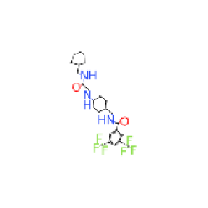 O=C(CNC1CCC(CNC(=O)c2cc(C(F)(F)F)cc(C(F)(F)F)c2)CC1)NCC1CCCCC1